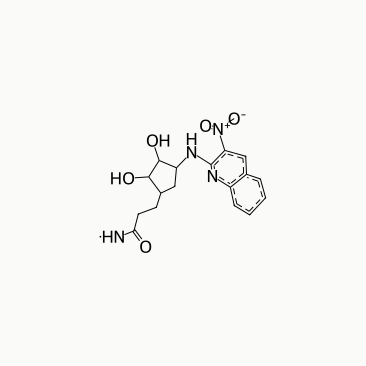 [NH]C(=O)CCC1CC(Nc2nc3ccccc3cc2[N+](=O)[O-])C(O)C1O